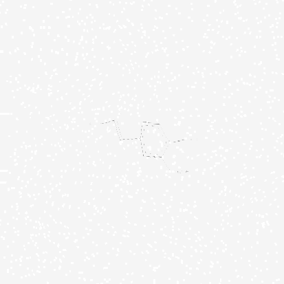 COc1cc(C=C(C)OC(C)=O)ccc1O